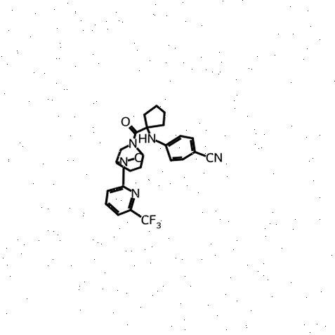 N#Cc1ccc(NC2(C(=O)N3CC4CCC3CN4c3cccc(C(F)(F)F)n3)CCCC2)cc1